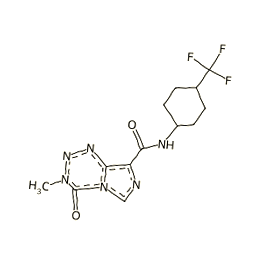 Cn1nnc2c(C(=O)NC3CCC(C(F)(F)F)CC3)ncn2c1=O